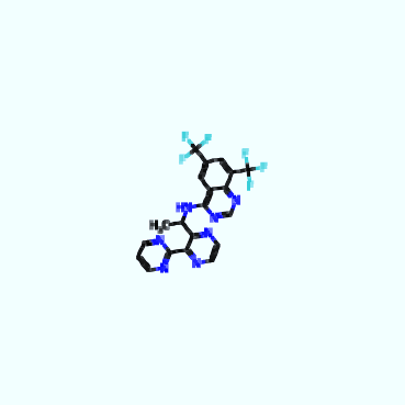 CC(Nc1ncnc2c(C(F)(F)F)cc(C(F)(F)F)cc12)c1nccnc1-c1ncccn1